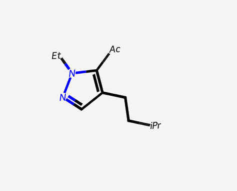 CCn1ncc(CCC(C)C)c1C(C)=O